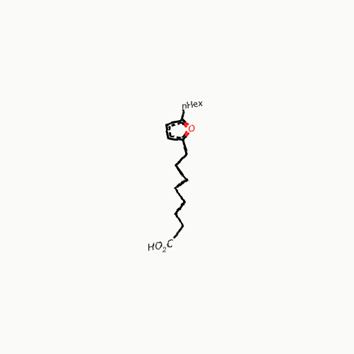 CCCCCCc1ccc(CCCCCCCC(=O)O)o1